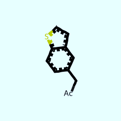 CC(=O)Cc1ccc2s[c]cc2c1